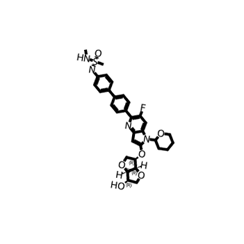 CNS(C)(=O)=Nc1ccc(-c2ccc(-c3nc4cc(O[C@@H]5CO[C@H]6[C@@H]5OC[C@H]6O)n(C5CCCCO5)c4cc3F)cc2)cc1